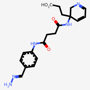 NN=Cc1ccc(NC(=O)CCC(=O)NC2(CCC(=O)O)C=CC=NC2)cc1